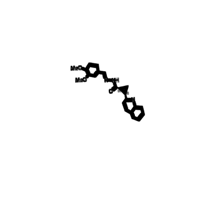 COc1ccc(C=NNC(=O)[C@@H]2C[C@H]2c2ccc3ccccc3n2)cc1OC